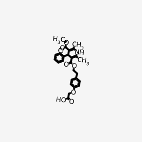 COC(=O)C1=C(C)NC(C)=C(C(=O)OCCc2ccc(OCC(=O)O)cc2)C1c1ccccc1Cl